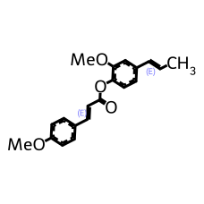 C/C=C/c1ccc(OC(=O)/C=C/c2ccc(OC)cc2)c(OC)c1